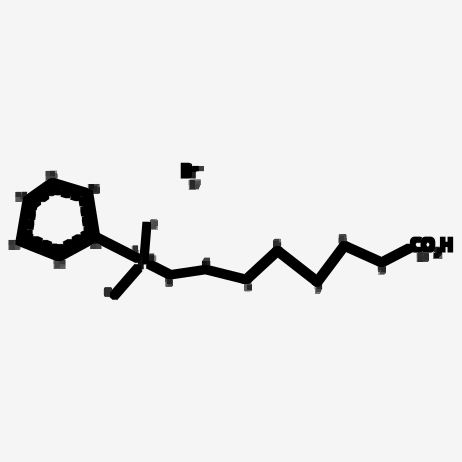 C[P+](C)(CCCCCCCC(=O)O)c1ccccc1.[Br-]